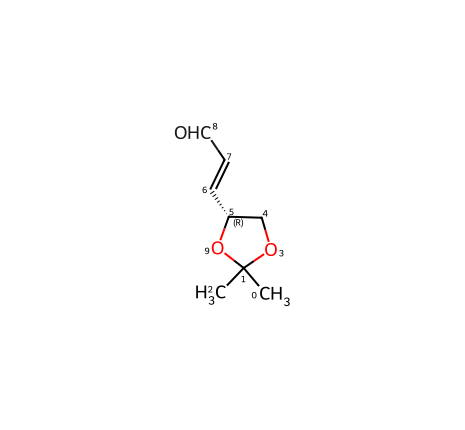 CC1(C)OC[C@@H](C=CC=O)O1